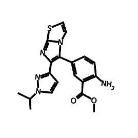 COC(=O)c1cc(-c2c(-c3ccn(C(C)C)n3)nc3sccn23)ccc1N